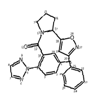 Cc1ccc(-n2nccn2)c(C(=O)N2CCCC2c2cc(-c3ccccc3)no2)c1